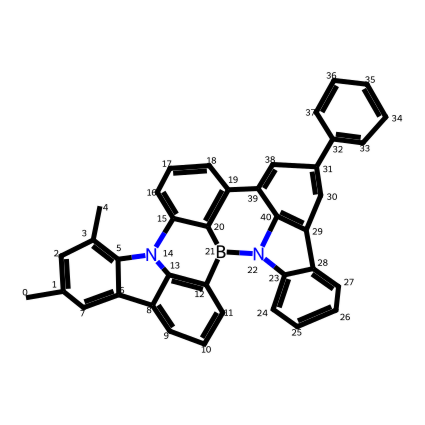 Cc1cc(C)c2c(c1)c1cccc3c1n2-c1cccc2c1B3n1c3ccccc3c3cc(-c4ccccc4)cc-2c31